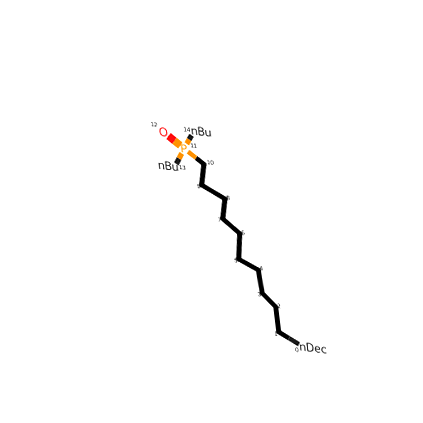 CCCCCCCCCCCCCCCCCCCCP(=O)(CCCC)CCCC